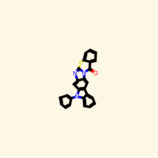 O=c1c2ccccc2sc2nc3cc4c(cc3n12)c1ccccc1n4-c1ccccc1